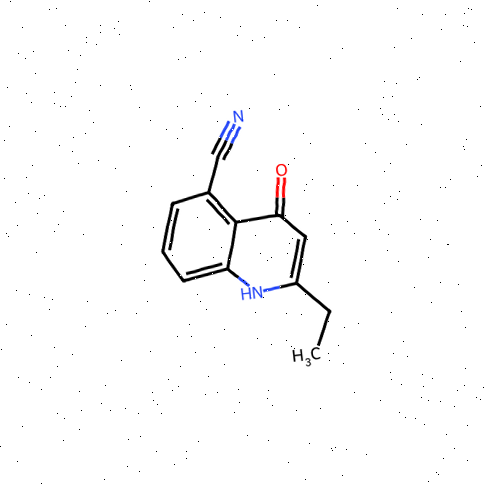 CCc1cc(=O)c2c(C#N)cccc2[nH]1